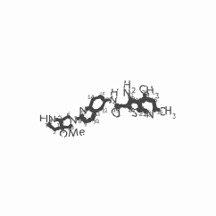 COC12CCNC1CN(c1ccc3c(n1)CCC(NC(=O)c1sc4nc(C)cc(C)c4c1N)C3)C2